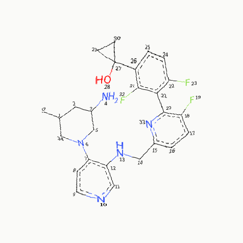 CC1CC(N)CN(c2ccncc2NCc2ccc(F)c(-c3c(F)ccc(C4(O)CC4)c3F)n2)C1